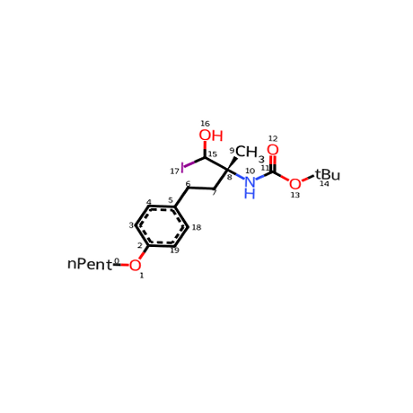 CCCCCOc1ccc(CC[C@@](C)(NC(=O)OC(C)(C)C)C(O)I)cc1